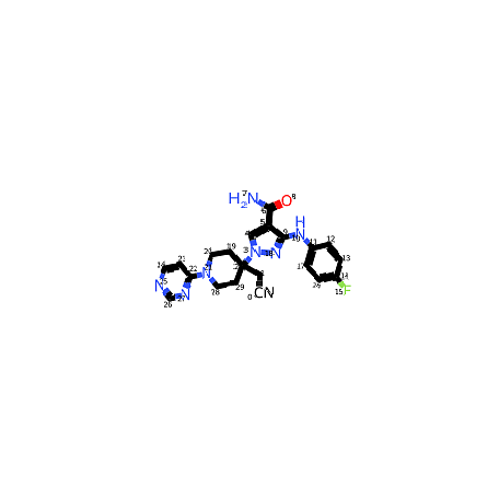 N#CCC1(n2cc(C(N)=O)c(Nc3ccc(F)cc3)n2)CCN(c2ccncn2)CC1